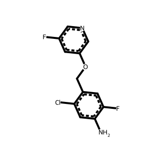 Nc1cc(Cl)c(COc2cncc(F)c2)cc1F